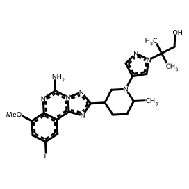 COc1cc(F)cc2c1nc(N)n1nc(C3CCC(C)N(c4cnn(C(C)(C)CO)c4)C3)nc21